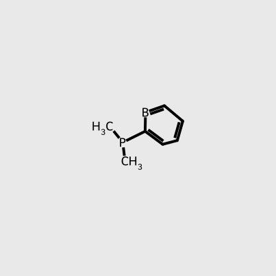 CP(C)c1bcccc1